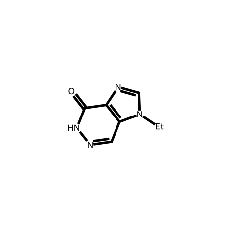 CCn1cnc2c(=O)[nH]ncc21